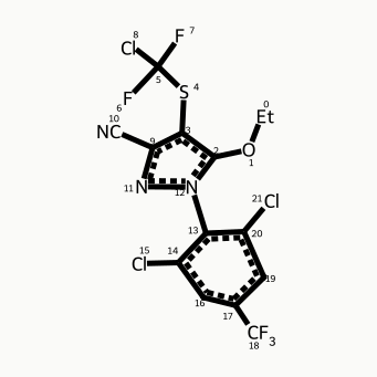 CCOc1c(SC(F)(F)Cl)c(C#N)nn1-c1c(Cl)cc(C(F)(F)F)cc1Cl